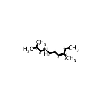 CC/C(C)=C\CCNCC(C)C